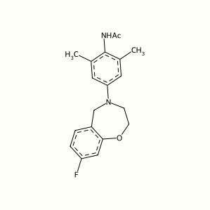 CC(=O)Nc1c(C)cc(N2CCOc3cc(F)ccc3C2)cc1C